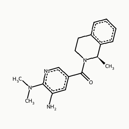 C[C@@H]1c2ccccc2CCN1C(=O)c1cnc(N(C)C)c(N)c1